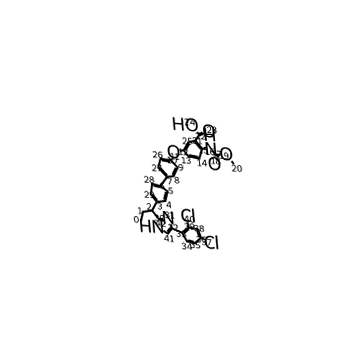 CCC(c1ccc(-c2ccc(Oc3ccc(NC(=O)OC)c(C(=O)O)c3)cc2)cc1)c1nc(-c2ccc(Cl)cc2Cl)c[nH]1